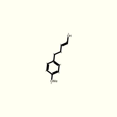 COc1ccc(CCC=CO)cc1